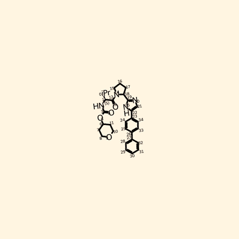 CC(C)[C@H](NC(=O)OC1CCOCC1)C(=O)N1CCCC1c1ncc(-c2ccc(-c3ccccc3)cc2)[nH]1